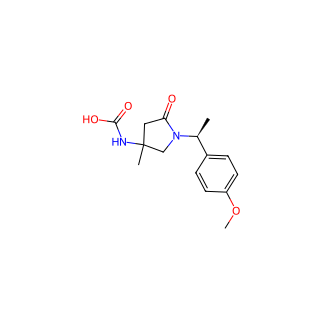 COc1ccc([C@H](C)N2CC(C)(NC(=O)O)CC2=O)cc1